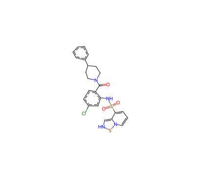 O=C(c1ccc(Cl)cc1NS(=O)(=O)C1=CC=CN2SNC=C12)N1CCC(c2ccccc2)CC1